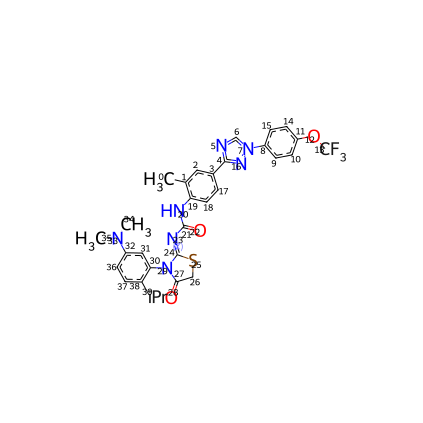 Cc1cc(-c2ncn(-c3ccc(OC(F)(F)F)cc3)n2)ccc1NC(=O)/N=C1\SCC(=O)N1c1cc(N(C)C)ccc1C(C)C